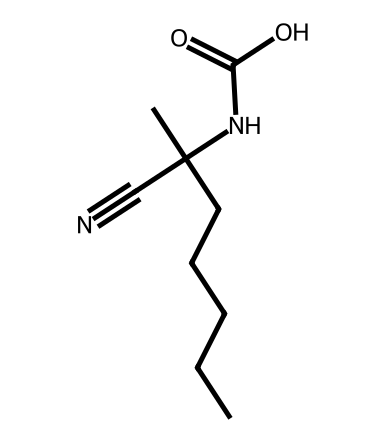 CCCCCC(C)(C#N)NC(=O)O